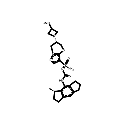 COC1CN([C@@H]2COc3c([S@](N)(=O)=NC(=O)Nc4c5c(cc6c4[C@H](C)CC6)CCC5)cnn3C2)C1